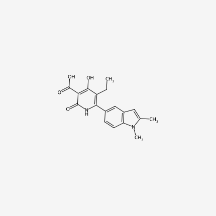 CCc1c(-c2ccc3c(c2)cc(C)n3C)[nH]c(=O)c(C(=O)O)c1O